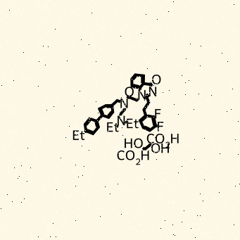 CCc1ccc(-c2ccc(CN(CCN(CC)CC)C(=O)Cn3c(CCc4cccc(F)c4F)nc(=O)c4ccccc43)cc2)cc1.O=C(O)C(O)C(O)C(=O)O